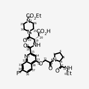 CCNC(=O)[C@@H]1CCCN1C(=O)COc1cc(C(=O)N[C@@H](CC(=O)O)C(=O)N2CCN(C(=O)OCC)CC2)nc2cc(F)ccc12